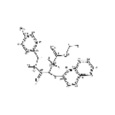 CCOC(=O)[N+](C)(C)C(Cc1ccc2ccccc2c1)C(=O)N(C)Cc1ccc(F)cc1